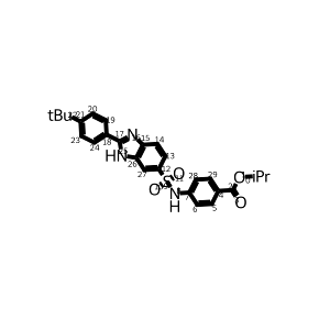 CC(C)OC(=O)c1ccc(NS(=O)(=O)c2ccc3nc(-c4ccc(C(C)(C)C)cc4)[nH]c3c2)cc1